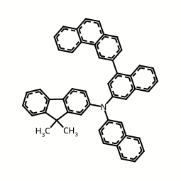 CC1(C)c2ccccc2-c2ccc(N(c3ccc4ccccc4c3)c3cc(-c4ccc5ccc6ccccc6c5c4)c4ccccc4c3)cc21